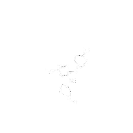 Nc1ncc(Oc2ccc(Cl)cc2)c(N[C@H]2CCC[C@H](O)C2)n1